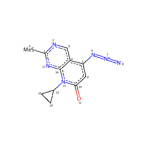 CSc1ncc2c(N=[N+]=[N-])cc(=O)n(C3CC3)c2n1